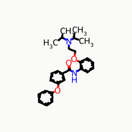 CC(C)N(CCOc1ccccc1NC(=O)c1cccc(Oc2ccccc2)c1)C(C)C